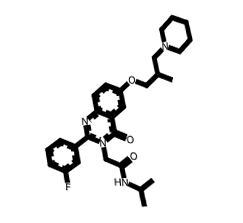 CC(COc1ccc2nc(-c3cccc(F)c3)n(CC(=O)NC(C)C)c(=O)c2c1)CN1CCCCC1